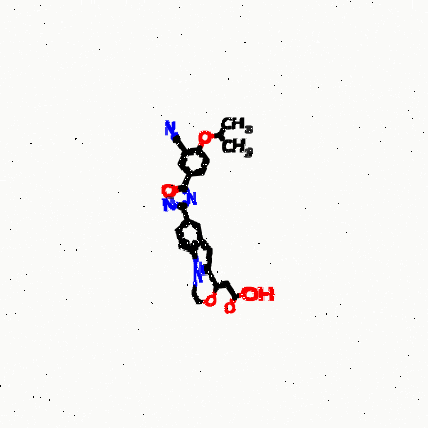 CC(C)Oc1ccc(-c2nc(-c3ccc4c(c3)cc3n4CCOC3CC(=O)O)no2)cc1C#N